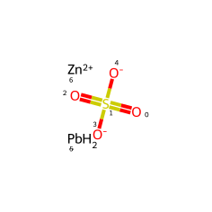 O=S(=O)([O-])[O-].[PbH2].[Zn+2]